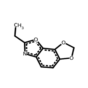 CCc1nc2ccc3c(c2o1)OCO3